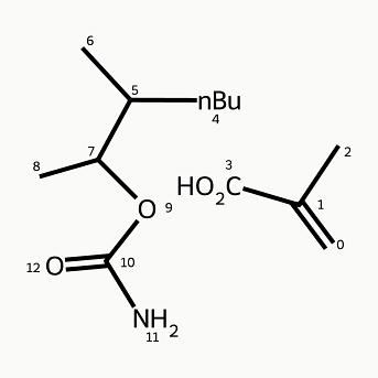 C=C(C)C(=O)O.CCCCC(C)C(C)OC(N)=O